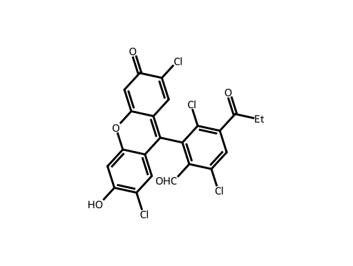 CCC(=O)c1cc(Cl)c(C=O)c(-c2c3cc(Cl)c(=O)cc-3oc3cc(O)c(Cl)cc23)c1Cl